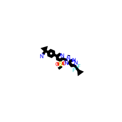 CCS(=O)(=O)c1cc(-c2ccc(C3(C#N)CC3)cc2)cnc1-c1nc2cc(C(F)(F)C3CC3)nnc2n1C